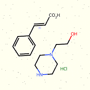 Cl.O=C(O)/C=C/c1ccccc1.OCCN1CCNCC1